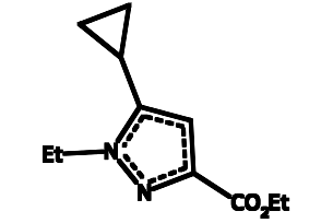 CCOC(=O)c1cc(C2CC2)n(CC)n1